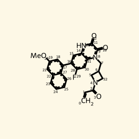 C=CC(=O)N1CC(Cn2c(=O)c(=O)[nH]c3cc(-c4cc(OC)cc5ccccc45)c(F)cc32)C1